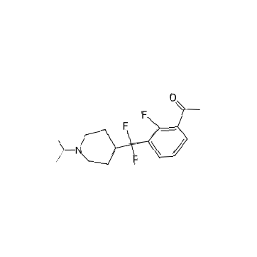 CC(=O)c1cccc(C(F)(F)C2CCN(C(C)C)CC2)c1F